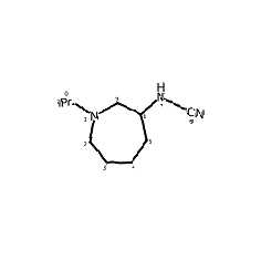 CC(C)N1CCCCC(NC#N)C1